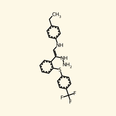 CCc1ccc(N/C=C(\NN)c2ccccc2Sc2ccc(C(F)(F)F)cc2)cc1